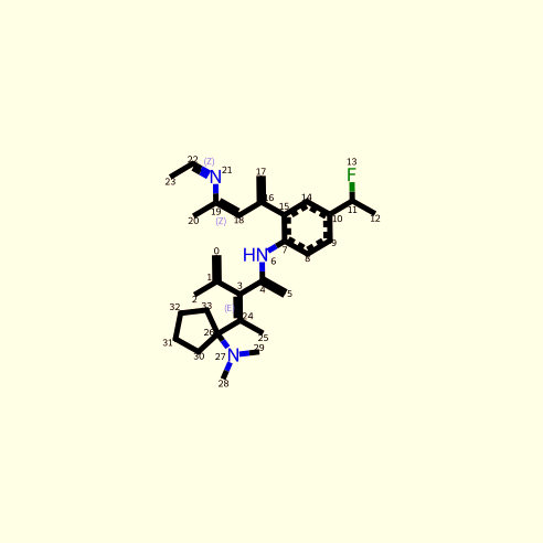 C=C(C)/C(C(=C)Nc1ccc(C(C)F)cc1C(=C)/C=C(C)\N=C/C)=C(/C)C1(N(C)C)CCCC1